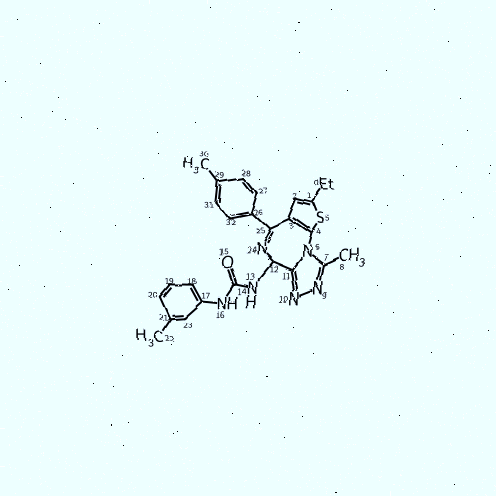 CCc1cc2c(s1)-n1c(C)nnc1C(NC(=O)Nc1cccc(C)c1)N=C2c1ccc(C)cc1